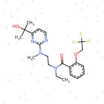 CCN(CCN(C)c1nccc(C(C)(C)O)n1)C(=O)c1ccccc1OCC(F)(F)F